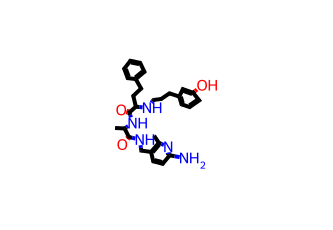 Cc1nc(N)ccc1CNC(=O)C(C)NC(=O)C(CCc1ccccc1)NCCCc1cccc(O)c1